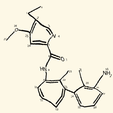 CCc1cnc(C(=O)Nc2cccc(-c3cccc(N)c3C)c2C)cc1OC